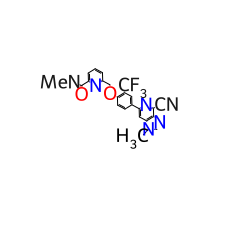 CNC(=O)c1cccc(COc2ccc(-c3cc4c(ncn4C)c(C#N)n3)cc2C(F)(F)F)n1